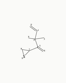 C=CC(C)(C)C(=C)C1CS1